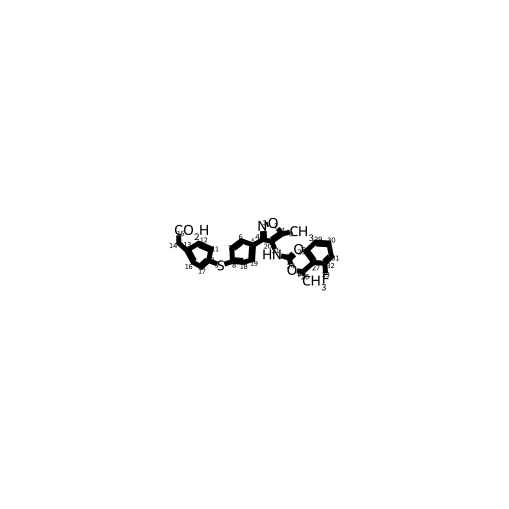 Cc1onc(-c2ccc(Sc3ccc(CC(=O)O)cc3)cc2)c1NC(=O)O[C@H](C)c1ccccc1F